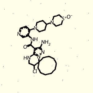 Nc1nn2c(c1C(=O)Nc1cnccc1N1CCC(N3CC[S+]([O-])CC3)CC1)NCC(Cl)C21CCCCCCCCC1